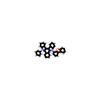 c1ccc2oc3c(-n4c5ccccc5c5c6c7ccccc7n(-c7ccccc7)c6c6ccccc6c54)cccc3c2c#1